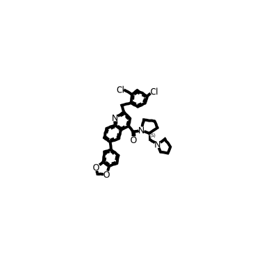 O=C(c1cc(Cc2ccc(Cl)cc2Cl)nc2ccc(-c3ccc4c(c3)OCO4)cc12)N1CCC[C@H]1CN1CCCC1